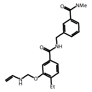 C=CNCOc1cc(C(=O)NCc2cccc(C(=O)NC)c2)ccc1CC